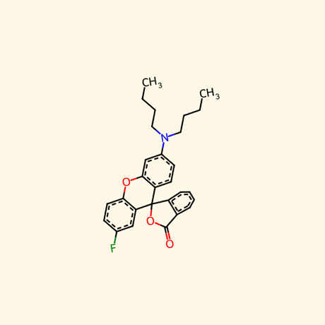 CCCCN(CCCC)c1ccc2c(c1)Oc1ccc(F)cc1C21OC(=O)c2ccccc21